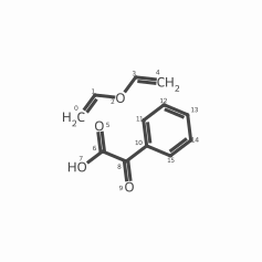 C=COC=C.O=C(O)C(=O)c1ccccc1